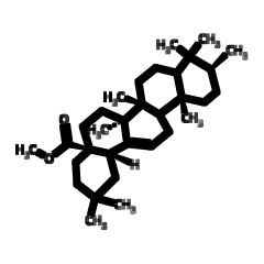 COC(=O)[C@]12CCC(C)(C)C[C@H]1C1=CCC3[C@@]4(C)CC[C@H](C)C(C)(C)C4CC[C@@]3(C)[C@]1(C)CC2